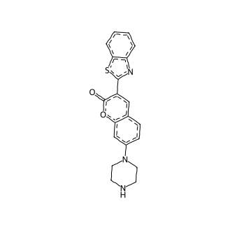 O=c1oc2cc(N3CCNCC3)ccc2cc1-c1nc2ccccc2s1